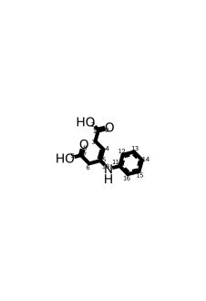 O=C(O)CC=C(CC(=O)O)Nc1ccccc1